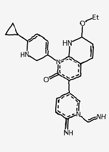 CCOC1C=Cc2cc(-c3ccc(=N)n(C=N)c3)c(=O)n(C3=CC=C(C4CC4)NC3)c2N1